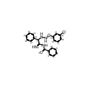 N=C(NC(=O)c1ccccc1)C(NNOc1cccc(Cl)c1)c1ccccc1